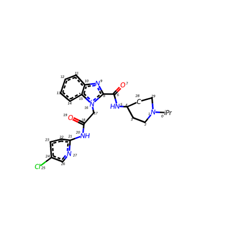 CC(C)N1CCC(NC(=O)c2nc3ccccc3n2CC(=O)Nc2ccc(Cl)cn2)CC1